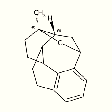 C[C@]12CCC3c4c5cccc4C(C[C@@H]1C3CC5)C2